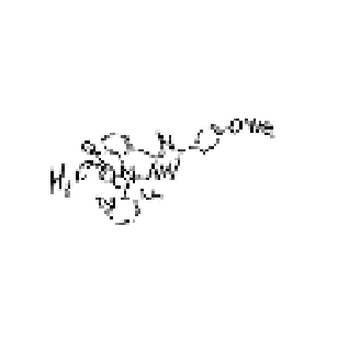 COc1ccc(-c2nc3c4cccc(S(C)(=O)=O)c4nc(Nc4ccccnc4=O)n3n2)cc1